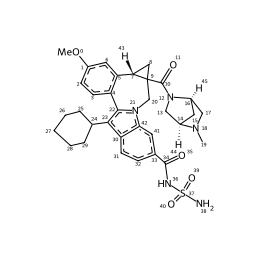 COc1ccc2c(c1)[C@@H]1CC1(C(=O)N1C[C@H]3C[C@@H]1CN3C)Cn1c-2c(C2CCCCC2)c2ccc(C(=O)NS(N)(=O)=O)cc21